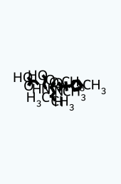 Cc1ccc(C(C)(C)C(=O)N[C@H](C(=O)N[C@H](CCC(=O)O)C(=O)O)C(C)C)cc1